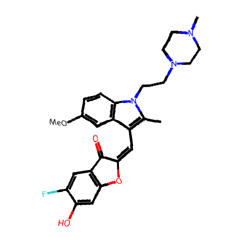 COc1ccc2c(c1)c(C=C1Oc3cc(O)c(F)cc3C1=O)c(C)n2CCN1CCN(C)CC1